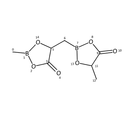 CB1OC(=O)C(CB2OC(=O)C(C)O2)O1